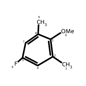 COc1c(C)cc(F)cc1C